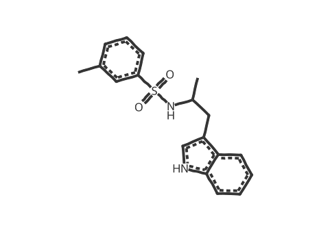 Cc1cccc(S(=O)(=O)NC(C)Cc2c[nH]c3ccccc23)c1